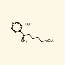 Br.C=C(CCCCCCCCCCCC)c1ccncc1